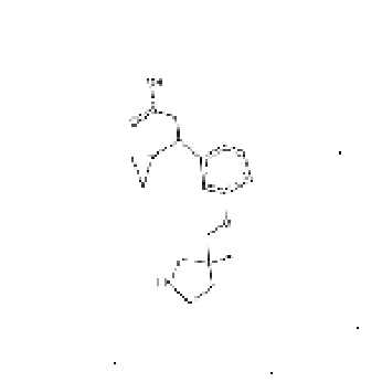 CC1(COc2cccc(C(CC(=O)O)C3CC3)c2)CCNC1